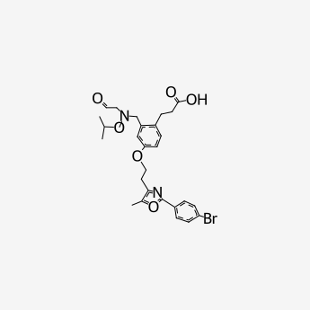 Cc1oc(-c2ccc(Br)cc2)nc1CCOc1ccc(CCC(=O)O)c(CN(CC=O)OC(C)C)c1